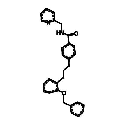 O=C(NCc1ccccn1)c1ccc(CCCc2ccccc2OCc2ccccc2)cc1